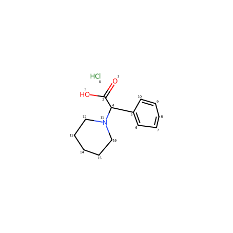 Cl.O=C(O)C(c1ccccc1)N1CCCCC1